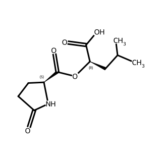 CC(C)C[C@@H](OC(=O)[C@@H]1CCC(=O)N1)C(=O)O